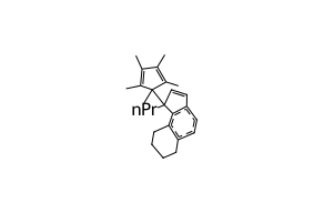 CCCC1(C2(C)C(C)=C(C)C(C)=C2C)C=Cc2ccc3c(c21)CCCC3